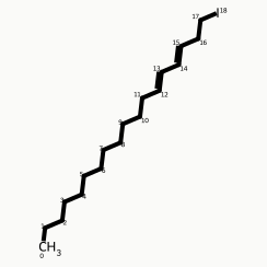 CCCCCCCCCCCCC=CC=CCCI